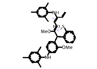 C=C/C(=C\C=C(/OC)C(c1ccc(Nc2c(C)cc(C)cc2C)cc1OC)c1ccccc1S(=O)(=O)O)Nc1c(C)cc(C)cc1C